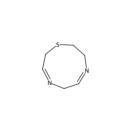 C1=NCC=NCCSC1